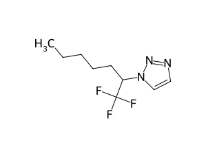 CCCCCC(n1ccnn1)C(F)(F)F